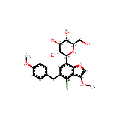 COc1ccc(Cc2cc([C@@H]3O[C@H](CO)[C@@H](O)[C@H](O)[C@H]3O)c3occ(OC)c3c2Cl)cc1